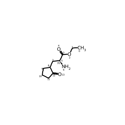 CCOC(=O)[C@@H](N)CC1CCCC1=O